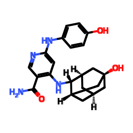 NC(=O)c1cnc(Nc2ccc(O)cc2)cc1N[C@@H]1[C@@H]2C[C@@H]3C[C@H]1C[C@@](O)(C3)C2